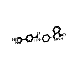 O=C(N[C@H]1CC[C@H](c2n[nH]c(=O)c3ccccc32)CC1)c1ccc(-c2cn[nH]c2)cc1